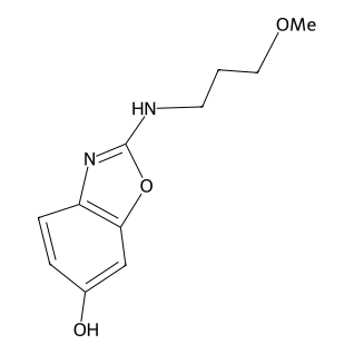 COCCCNc1nc2ccc(O)cc2o1